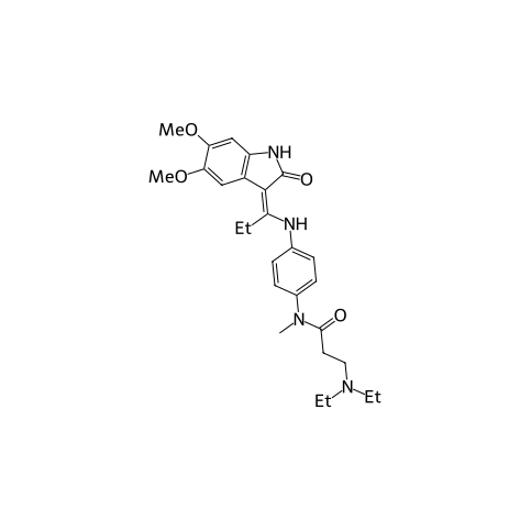 CC/C(Nc1ccc(N(C)C(=O)CCN(CC)CC)cc1)=C1/C(=O)Nc2cc(OC)c(OC)cc21